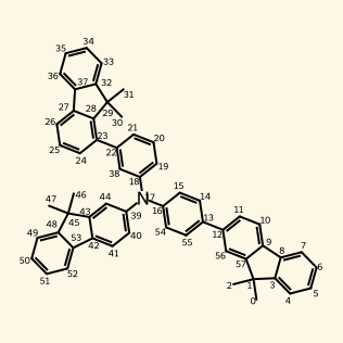 CC1(C)c2ccccc2-c2ccc(-c3ccc(N(c4cccc(-c5cccc6c5C(C)(C)c5ccccc5-6)c4)c4ccc5c(c4)C(C)(C)c4ccccc4-5)cc3)cc21